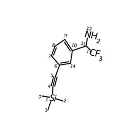 C[Si](C)(C)C#Cc1cccc(C(N)C(F)(F)F)c1